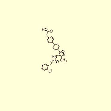 Cc1noc(-c2ccc(-c3ccc(CC(=O)O)cc3)cc2)c1NC(=O)OCc1ccccc1Cl